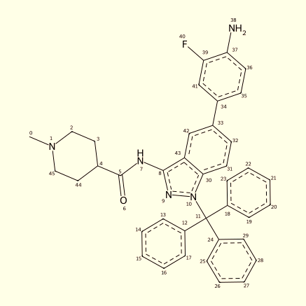 CN1CCC(C(=O)Nc2nn(C(c3ccccc3)(c3ccccc3)c3ccccc3)c3ccc(-c4ccc(N)c(F)c4)cc23)CC1